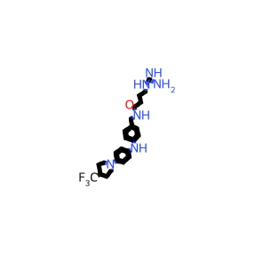 N=C(N)NCCCC(=O)NCc1ccc(Nc2ccc(N3CCC(C(F)(F)F)CC3)cc2)cc1